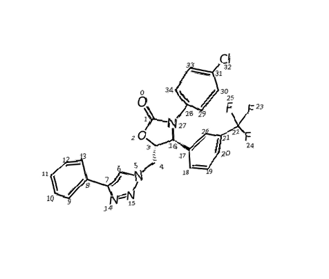 O=C1O[C@@H](Cn2cc(-c3ccccc3)nn2)[C@H](c2cccc(C(F)(F)F)c2)N1c1ccc(Cl)cc1